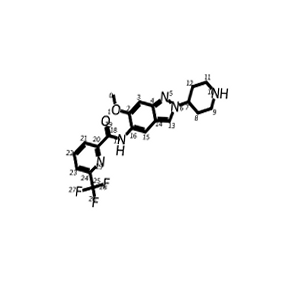 COc1cc2nn(C3CCNCC3)cc2cc1NC(=O)c1cccc(C(F)(F)F)n1